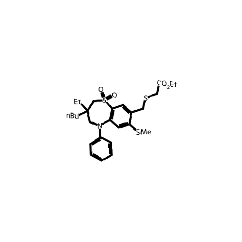 CCCCC1(CC)CN(c2ccccc2)c2cc(SC)c(CSCC(=O)OCC)cc2S(=O)(=O)C1